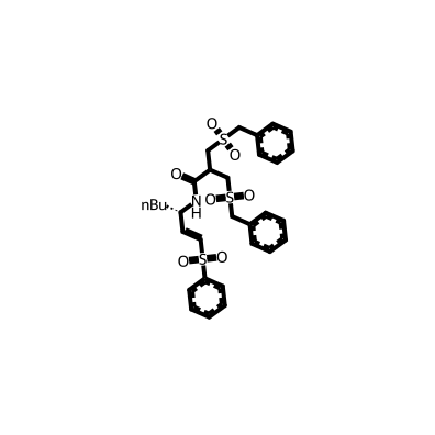 CCCC[C@@H](C=CS(=O)(=O)c1ccccc1)NC(=O)C(CS(=O)(=O)Cc1ccccc1)CS(=O)(=O)Cc1ccccc1